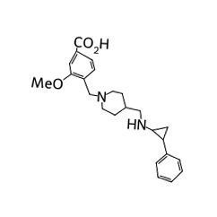 COc1cc(C(=O)O)ccc1CN1CCC(CNC2CC2c2ccccc2)CC1